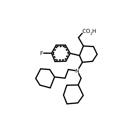 O=C(O)CC1CCCC(N(CCC2CCCCC2)CC2CCCCC2)C1c1ccc(F)cc1